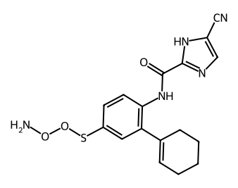 N#Cc1cnc(C(=O)Nc2ccc(SOON)cc2C2=CCCCC2)[nH]1